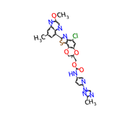 COc1cnc2c(-c3nc4c(Cl)cc5c(c4s3)OC[C@H](COC(=O)Nc3ccc(-n4cnc(C)n4)nc3)O5)cc(C)cc2n1